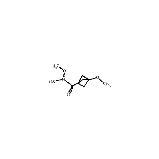 CON(C)C(=O)C12CC(OC)(C1)C2